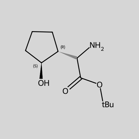 CC(C)(C)OC(=O)C(N)[C@H]1CCC[C@@H]1O